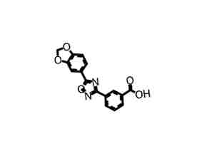 O=C(O)c1cccc(-c2noc(-c3ccc4c(c3)OCO4)n2)c1